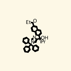 CCC(=O)c1ccc2cc(C(O)(c3cn(C(c4ccccc4)(c4ccccc4)c4ccccc4)cn3)C(C)C)ccc2c1